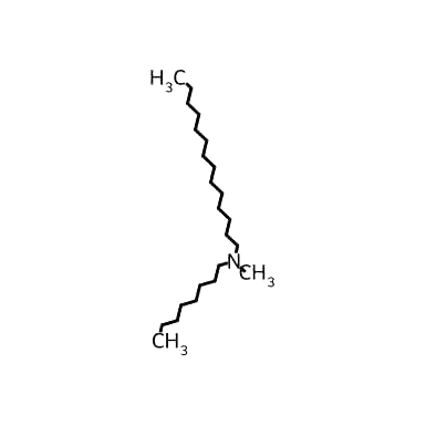 CCCCCCCCCCCCCCN(C)CCCCCCCC